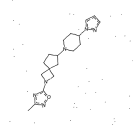 Cc1noc(N2CC3(CCC(N4CCC(n5cccn5)CC4)C3)C2)n1